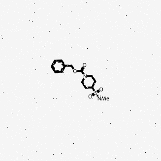 CNS(=O)(=O)C1CCN(C(=O)OCc2ccccc2)CC1